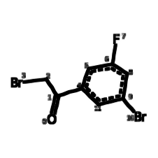 O=C(CBr)c1cc(F)cc(Br)c1